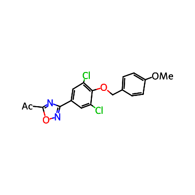 COc1ccc(COc2c(Cl)cc(-c3noc(C(C)=O)n3)cc2Cl)cc1